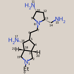 CCN1C[C@H]2CC(CCN3C[C@H](N)C[C@@H]3CN)[C@@H](N)[C@H]2C1